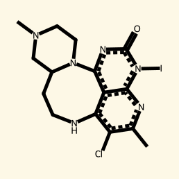 Cc1nc2c3c(nc(=O)n2I)N2CCN(C)CC2CCNc3c1Cl